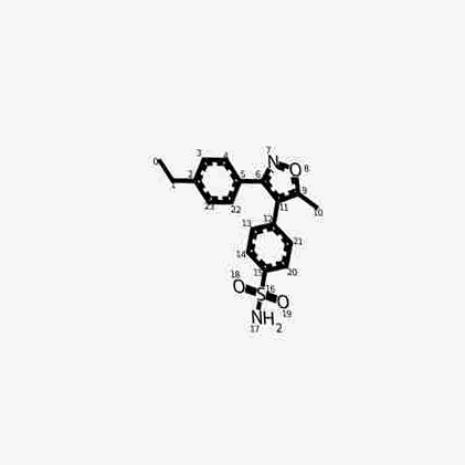 CCc1ccc(-c2noc(C)c2-c2ccc(S(N)(=O)=O)cc2)cc1